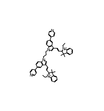 CC[N+]1=C(/C=C/c2cn(CCCn3cc(/C=C/C4=[N+](CC)c5ccccc5C4(C)C)c4cc(-c5ccncc5)ccc43)c3ccc(-c4ccncc4)cc23)C(C)(C)c2ccccc21